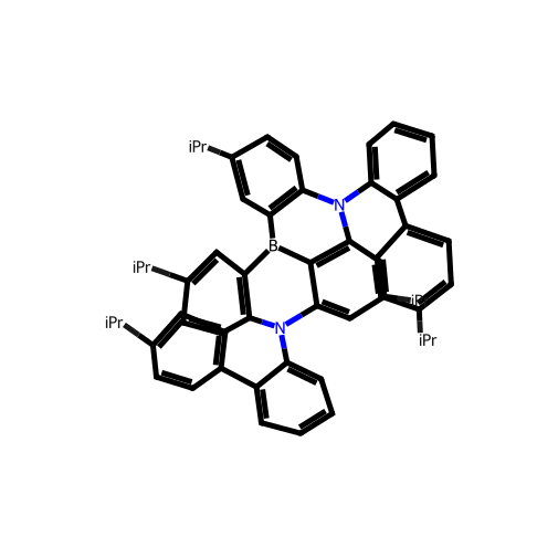 CC(C)c1ccc(-c2ccccc2N2c3ccc(C(C)C)cc3B3c4cc(C(C)C)ccc4N(c4ccccc4-c4ccc(C(C)C)cc4)c4cc(C(C)C)cc2c43)cc1